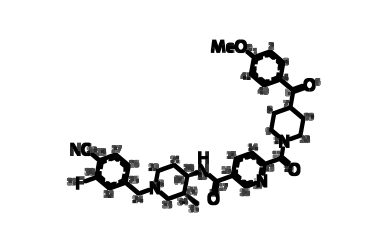 COc1ccc(C(=O)C2CCN(C(=O)c3ccc(C(=O)N[C@@H]4CCN(Cc5ccc(C#N)c(F)c5)C[C@@H]4C)cn3)CC2)cc1